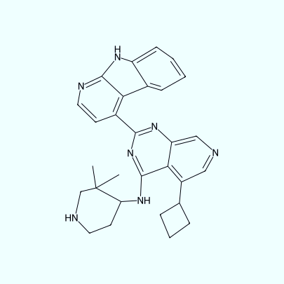 CC1(C)CNCCC1Nc1nc(-c2ccnc3[nH]c4ccccc4c23)nc2cncc(C3CCC3)c12